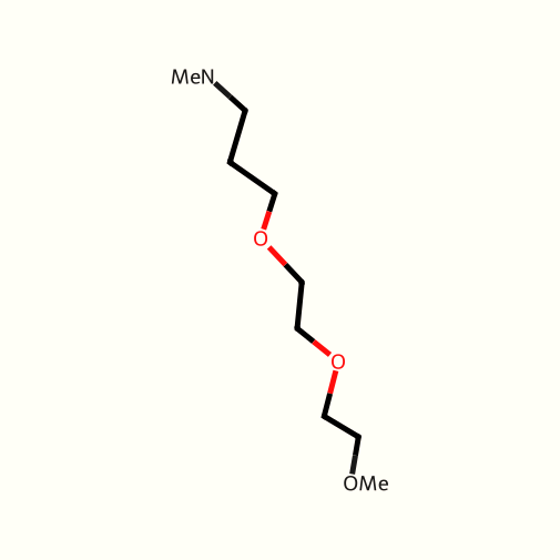 CNCCCOCCOCCOC